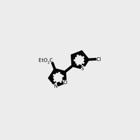 CCOC(=O)c1cnoc1-c1ccc(Cl)s1